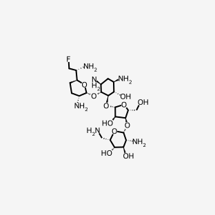 NC[C@@H]1O[C@H](O[C@H]2[C@@H](O)[C@H](O[C@@H]3[C@@H](O)[C@H](N)C[C@H](N)[C@H]3O[C@H]3O[C@H]([C@@H](N)CF)CC[C@H]3N)O[C@@H]2CO)[C@H](N)[C@@H](O)[C@@H]1O